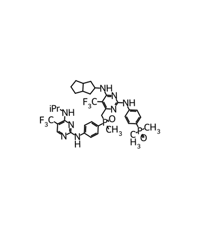 CC(C)Nc1nc(Nc2ccc(P(C)(=O)Cc3nc(Nc4ccc(P(C)(C)=O)cc4)nc(NC4CC5CCCC5C4)c3C(F)(F)F)cc2)ncc1C(F)(F)F